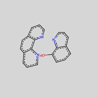 Oc1cccc2cccnc12.c1cnc2c(c1)ccc1cccnc12